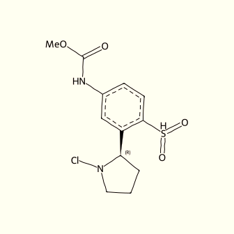 COC(=O)Nc1ccc([SH](=O)=O)c([C@H]2CCCN2Cl)c1